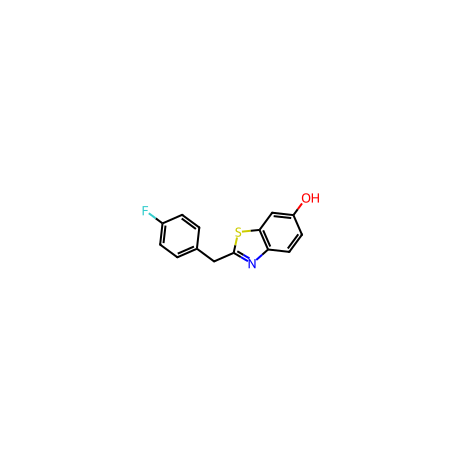 Oc1ccc2nc(Cc3ccc(F)cc3)sc2c1